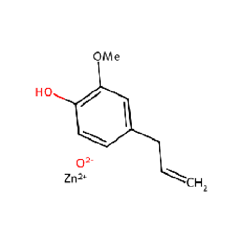 C=CCc1ccc(O)c(OC)c1.[O-2].[Zn+2]